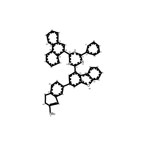 CCCCC1=Cc2cc(-c3cc(-c4nc(-c5ccccc5)nc(-c5cc6ccccc6c6ccccc56)n4)c4c(c3)oc3ccccc34)ccc2CC1